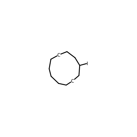 IC1CCCCCCCCCC1